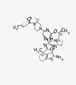 C/C=C/C(=O)N1CCN(c2cc(-c3noc([C@@]4(C)CCCc5sc(N)c(C#N)c54)n3)nc(O[C@@H](C)[C@@H]3CCCN3C)n2)CC12CC2